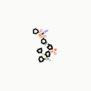 Cc1ccc(S(=O)(=O)[O-])cc1.Cc1ccccc1[S+](c1ccccc1)c1ccccc1.[N-]=[N+]=C(S(=O)(=O)C1CCCCC1)S(=O)(=O)C1CCCCC1